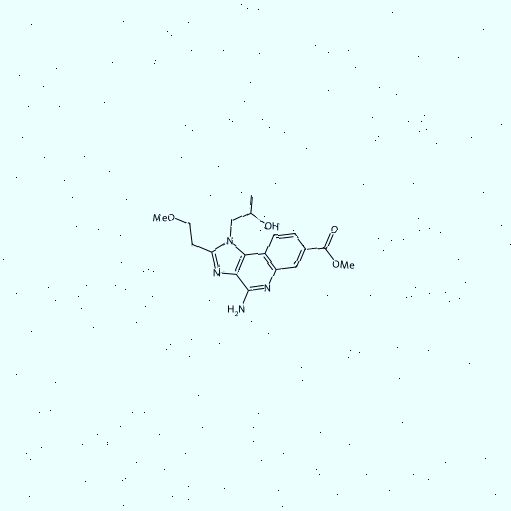 COCCc1nc2c(N)nc3cc(C(=O)OC)ccc3c2n1CC(C)O